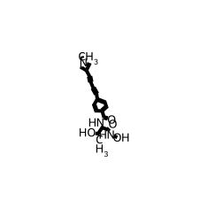 C[C@@H](O)[C@H](NC(=O)c1ccc(C#CC#CC2CN(C)C2)cc1)C(=O)NO